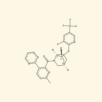 Cc1ccc(-c2ncccn2)c(C(=O)N2C[C@@H]3CC[C@H]2[C@H](Oc2ncc(C(F)(F)F)cc2F)C3)n1